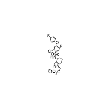 CCOC(=O)Cn1ncc2c1CCC[C@H]2NS(=O)(=O)c1cc(F)c(Oc2ccc(F)cc2)cc1Cl